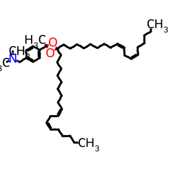 CCCCC/C=C\C/C=C\CCCCCCCCC1(CCCCCCCC/C=C\C/C=C\CCCCC)OC(C)(c2ccc(CN(C)C)cc2)O1